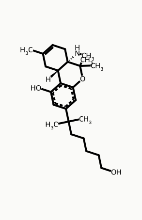 CN[C@@]12CC=C(C)C[C@H]1c1c(O)cc(C(C)(C)CCCCCO)cc1OC2(C)C